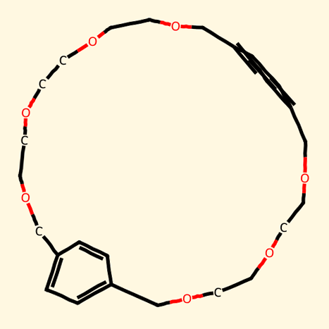 c1cc2ccc1COCCOCCOCCOCc1ccc(cc1)COCCOCCOC2